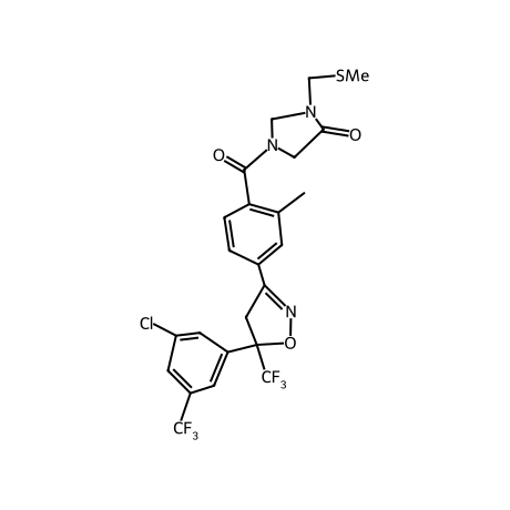 CSCN1CN(C(=O)c2ccc(C3=NOC(c4cc(Cl)cc(C(F)(F)F)c4)(C(F)(F)F)C3)cc2C)CC1=O